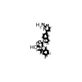 CC(C)(C)N(C(=O)O)[C@@H](Cc1ccc(F)cc1)C(=O)N1CCc2cc(-c3ccnc(N)n3)ccc21